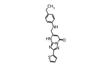 CCc1ccc(NCc2cc(=O)n3nc(-c4cccs4)nc3[nH]2)cc1